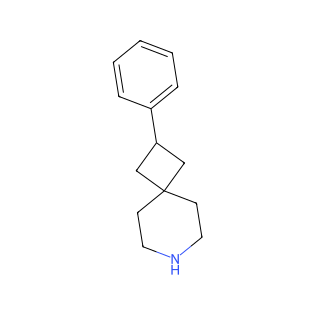 c1ccc(C2CC3(CCNCC3)C2)cc1